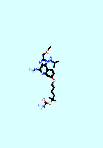 CCOCc1nc2c(N)nc3cc(OCCCCC(C)(C)OC(N)=O)ccc3c2n1NC(C)C